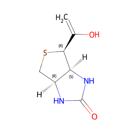 C=C(O)[C@@H]1SC[C@@H]2NC(=O)N[C@@H]21